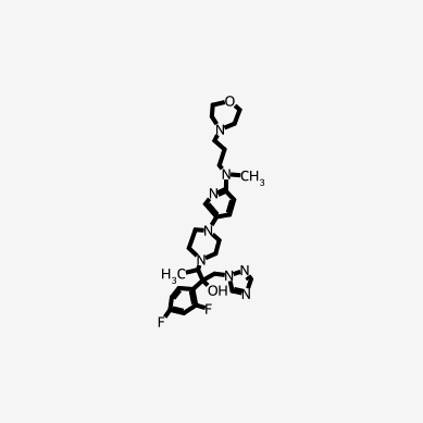 CC(N1CCN(c2ccc(N(C)CCCN3CCOCC3)nc2)CC1)C(O)(Cn1cncn1)c1ccc(F)cc1F